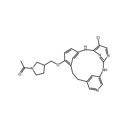 CC(=O)N1CCC(COc2ccc3cc2CCc2cncc(c2)Nc2ncc(Cl)c(n2)N3)C1